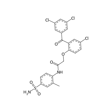 Cc1cc(S(N)(=O)=O)ccc1NC(=O)COc1ccc(Cl)cc1C(=O)c1cc(Cl)cc(Cl)c1